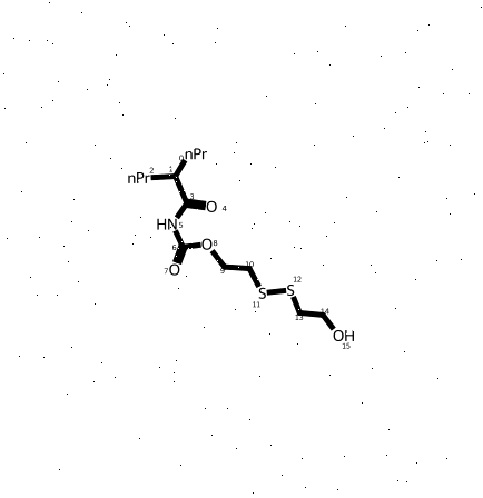 CCCC(CCC)C(=O)NC(=O)OCCSSCCO